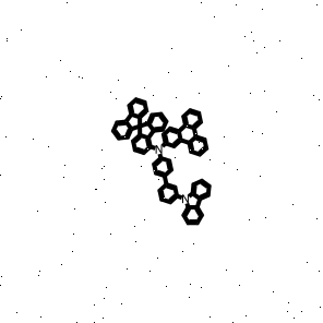 c1cc(-c2ccc(N(c3ccc4c5ccccc5c5ccccc5c4c3)c3cccc4c3-c3ccccc3C43c4ccccc4-c4ccccc43)cc2)cc(-n2c3ccccc3c3ccccc32)c1